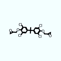 CC(C)(c1cc(Cl)c(OCC2CO2)c(Cl)c1)c1cc(Cl)c(OCC2CO2)c(Cl)c1